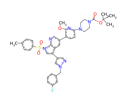 COc1nc(N2CCN(C(=O)OC(C)(C)C)CC2)ccc1-c1cnc2c(c1)c(-c1cnn(Cc3cccc(F)c3)c1)cn2S(=O)(=O)c1ccc(C)cc1